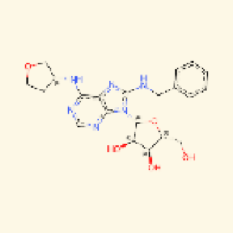 OC[C@H]1O[C@@H](n2c(NCc3ccccc3)nc3c(N[C@@H]4CCOC4)ncnc32)[C@H](O)[C@@H]1O